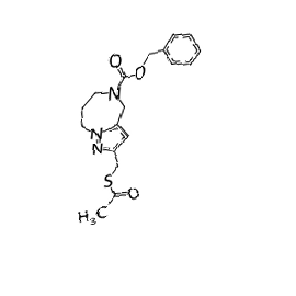 CC(=O)SCc1cc2n(n1)CCCN(C(=O)OCc1ccccc1)C2